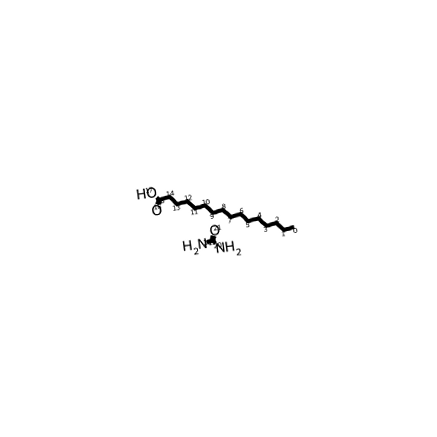 CCCCCCCCCCCCCCCC(=O)O.NC(N)=O